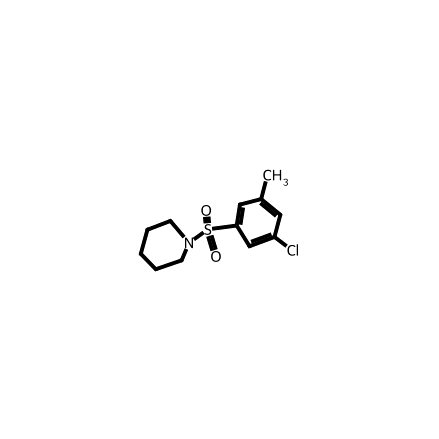 Cc1cc(Cl)cc(S(=O)(=O)N2CCCCC2)c1